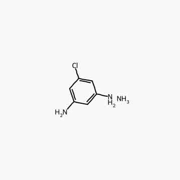 N.Nc1cc(N)cc(Cl)c1